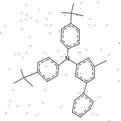 Cc1cc(-c2ccccc2)cc(N(c2ccc(C(C)(C)C)cc2)c2ccc(C(C)(C)C)cc2)c1